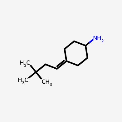 CC(C)(C)CC=C1CCC(N)CC1